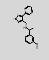 COc1cccc(C(C)NCc2c[nH]nc2-c2ccccc2)c1